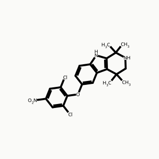 CC1(C)CNC(C)(C)c2[nH]c3ccc(Oc4c(Cl)cc([N+](=O)[O-])cc4Cl)cc3c21